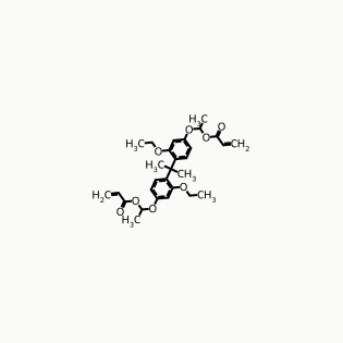 C=CC(=O)OC(C)Oc1ccc(C(C)(C)c2ccc(OC(C)OC(=O)C=C)cc2OCC)c(OCC)c1